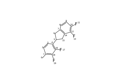 Cc1ccc(C2Cc3ccc(F)c(F)c3C2)c(F)c1F